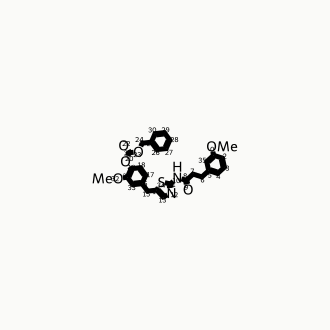 COc1cccc(CCC(=O)Nc2ncc(Cc3ccc(OC(=O)OCc4ccccc4)c(OC)c3)s2)c1